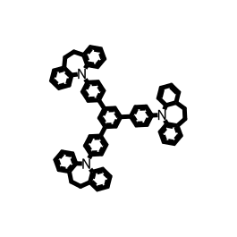 C1=CC2CCc3ccccc3N(c3ccc(-c4cc(-c5ccc(N6c7ccccc7CCc7ccccc76)cc5)cc(-c5ccc(N6c7ccccc7CCc7ccccc76)cc5)c4)cc3)C2C=C1